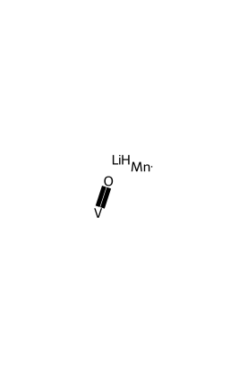 [LiH].[Mn].[O]=[V]